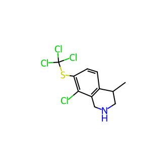 CC1CNCc2c1ccc(SC(Cl)(Cl)Cl)c2Cl